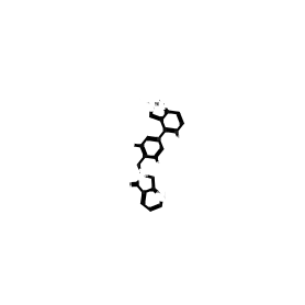 Cn1cc2c(-c3cc(F)c(CN4Cc5ncccc5C4=O)c(F)c3)c(F)ccc2n1